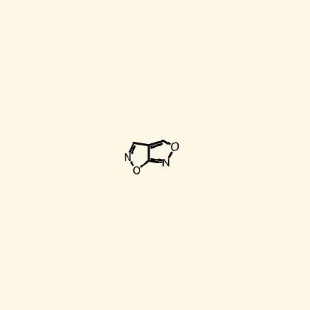 c1noc2nocc12